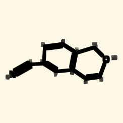 N#Cc1ccc2c(c1)C=COC2